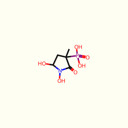 CC1(P(=O)(O)O)CC(O)N(O)C1=O